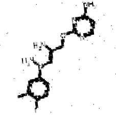 Cc1cc(N(N)/C=C(\N)COc2nccc(N)n2)ccc1F